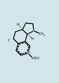 CCCCCCCC[n+]1ccc2c(c1)[C@H]1[C@@H](CC2)CCN1C.[I-]